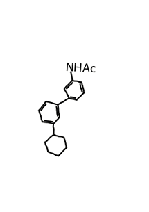 CC(=O)Nc1cccc(-c2cccc(C3CCCCC3)c2)c1